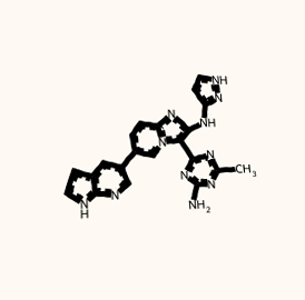 Cc1nc(N)nc(-c2c(Nc3cc[nH]n3)nc3ccc(-c4cnc5[nH]ccc5c4)cn23)n1